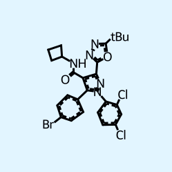 CC(C)(C)c1nnc(-c2nn(-c3ccc(Cl)cc3Cl)c(-c3ccc(Br)cc3)c2C(=O)NC2CCC2)o1